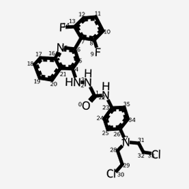 O=C(NNc1cc(-c2c(F)cccc2F)nc2ccccc12)Nc1ccc(N(CCCl)CCCl)cc1